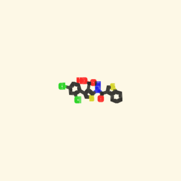 O=C(O)c1c(-c2ccc(Cl)cc2Cl)csc1NC(=O)c1csc2ccccc12